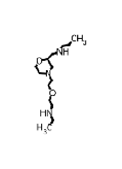 CCCNCC1CN(CCOCCNCC)CCO1